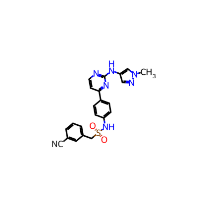 Cn1cc(Nc2nccc(-c3ccc(NS(=O)(=O)Cc4cccc(C#N)c4)cc3)n2)cn1